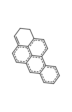 C1=c2ccc3cc4ccccc4c4ccc(c2c34)CC1